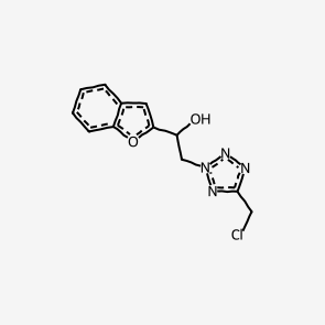 OC(Cn1nnc(CCl)n1)c1cc2ccccc2o1